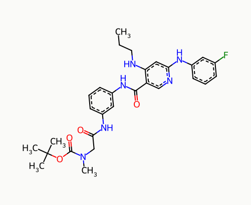 CCCNc1cc(Nc2cccc(F)c2)ncc1C(=O)Nc1cccc(NC(=O)CN(C)C(=O)OC(C)(C)C)c1